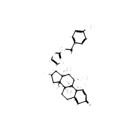 Cc1ccc(C(=O)Nc2nc([C@H]3[C@H](C)C[C@H]4[C@@H]5CCC6=CC(=O)C=C[C@]6(C)[C@@]5(F)[C@@H](O)C[C@@]43C)cs2)cc1